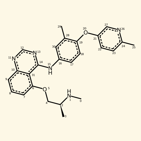 CN[C@@H](C)COc1cccc2ncnc(Nc3ccc(Oc4ccc(C)nc4)c(C)c3)c12